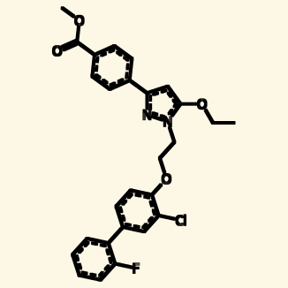 CCOc1cc(-c2ccc(C(=O)OC)cc2)nn1CCOc1ccc(-c2ccccc2F)cc1Cl